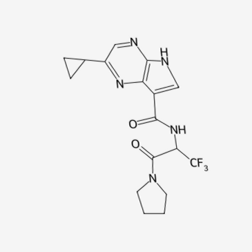 O=C(NC(C(=O)N1CCCC1)C(F)(F)F)c1c[nH]c2ncc(C3CC3)nc12